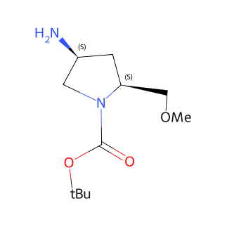 COC[C@@H]1C[C@H](N)CN1C(=O)OC(C)(C)C